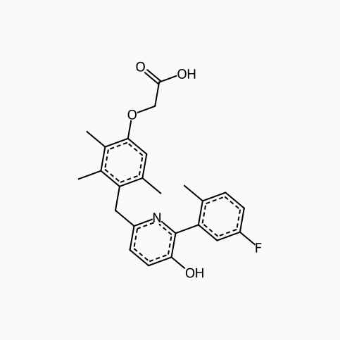 Cc1ccc(F)cc1-c1nc(Cc2c(C)cc(OCC(=O)O)c(C)c2C)ccc1O